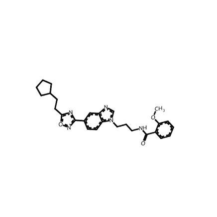 COc1ccccc1C(=O)NCCCn1cnc2cc(-c3noc(CCC4CCCC4)n3)ccc21